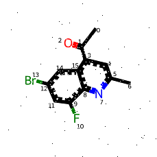 CC(=O)c1cc(C)nc2c(F)cc(Br)cc12